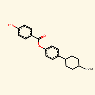 CCCCCC1CCC(c2ccc(OC(=O)c3ccc(O)cc3)cc2)CC1